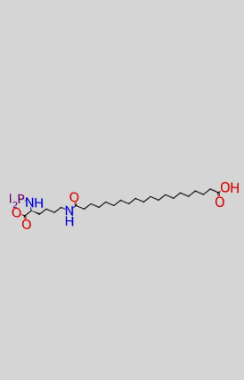 O=C(O)CCCCCCCCCCCCCCCCCCC(=O)NCCCC[C@H](NP)C(=O)O